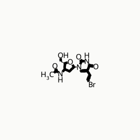 CC(=O)NC1C[C@@H](n2cc(/C=C/Br)c(=O)[nH]c2=O)O[C@H]1CO